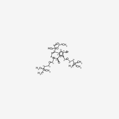 CCOC(O)(C=O)C1=CCN(COCC[Si](C)(C)C)C(=O)c2c1cc(Br)n2COCC[Si](C)(C)C